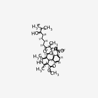 COC(=O)C1=C(C)NC(C)=C(C(=O)OC(CCCCC(O)C(C)C)C(C)C)C1c1cccc([N+](=O)[O-])c1